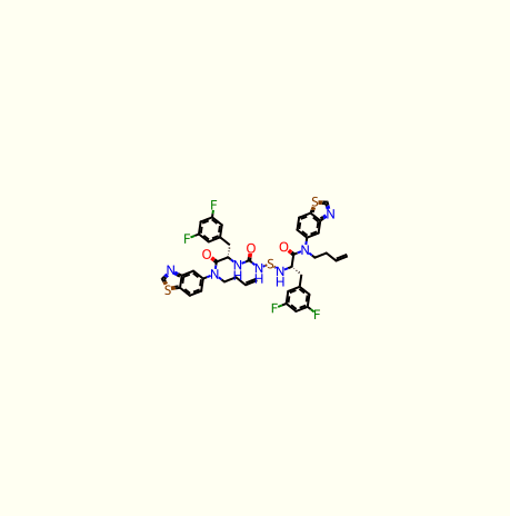 C=CCCN(C(=O)[C@H](Cc1cc(F)cc(F)c1)NSNC(=O)N[C@@H](Cc1cc(F)cc(F)c1)C(=O)N(CCC=C)c1ccc2scnc2c1)c1ccc2scnc2c1